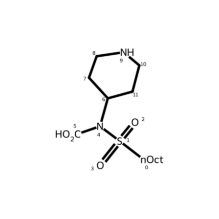 CCCCCCCCS(=O)(=O)N(C(=O)O)C1CCNCC1